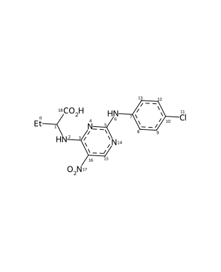 CCC(Nc1nc(Nc2ccc(Cl)cc2)ncc1[N+](=O)[O-])C(=O)O